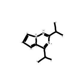 CC(C)c1nc(C(C)C)c2cccn2n1